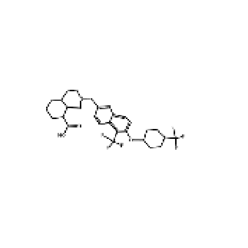 O=C(O)C1CCCC2CCN(Cc3ccc4c(C(F)(F)F)c(OC5CCC(C(F)(F)F)CC5)ccc4c3)CC21